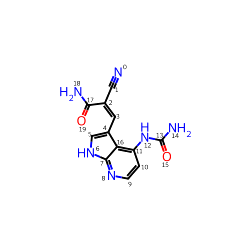 N#C/C(=C/c1c[nH]c2nccc(NC(N)=O)c12)C(N)=O